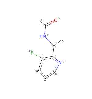 CC(=O)NC(C)c1ncccc1F